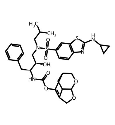 CC(C)CN(C[C@@H](O)[C@H](Cc1ccccc1)NC(=O)OC1=C2COC3OCC1CC23)S(=O)(=O)c1ccc2nc(NC3CC3)sc2c1